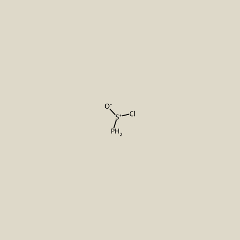 [O-][S+](P)Cl